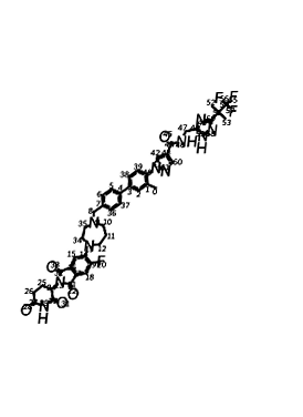 Cc1cc(-c2ccc(CN3CCCN(c4cc5c(cc4F)C(=O)N(C4CCC(=O)NC4=O)C5=O)CC3)cc2)ccc1-n1cc(C(=O)NCc2nc(C(C)(C)C(F)(F)F)n[nH]2)cn1